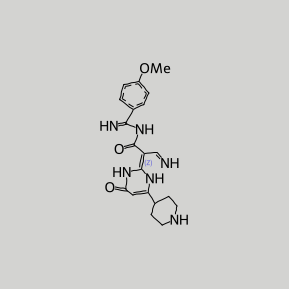 COc1ccc(C(=N)NC(=O)/C(C=N)=C2\NC(=O)C=C(C3CCNCC3)N2)cc1